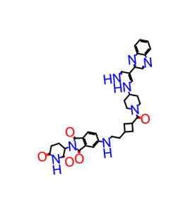 N=C/C(=C\NC1CCN(C(=O)C2CC(CCNc3ccc4c(c3)C(=O)N(C3CCC(=O)NC3=O)C4=O)C2)CC1)c1cnc2ccccc2n1